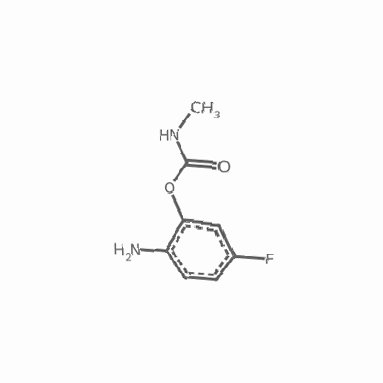 CNC(=O)Oc1cc(F)ccc1N